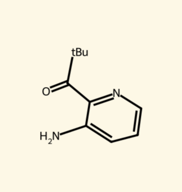 CC(C)(C)C(=O)c1ncccc1N